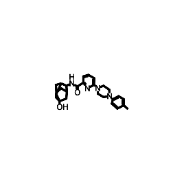 Cc1ccc(N2CCN(c3cccc(C(=O)NC4C5CC6CC4CC(O)(C6)C5)n3)CC2)cc1